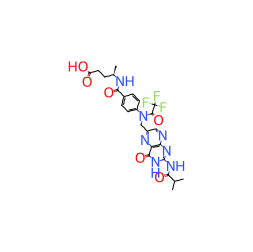 CC(C)C(=O)Nc1nc2ncc(CN(C(=O)C(F)(F)F)c3ccc(C(=O)N[C@H](C)CCC(=O)O)cc3)nc2c(=O)[nH]1